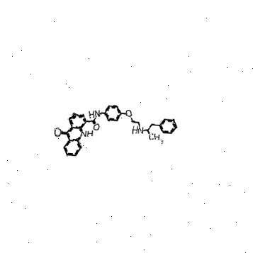 CC(Cc1ccccc1)NCCOc1ccc(NC(=O)c2cccc3c(=O)c4ccccc4[nH]c23)cc1